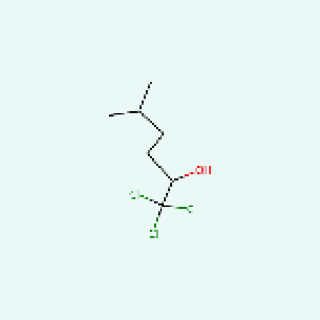 CC(C)CCC(O)C(Cl)(Cl)Cl